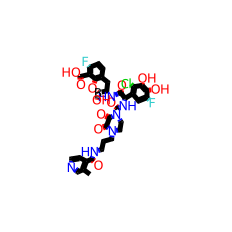 Cc1cnccc1C(=O)NCCCN1CCN(C(=O)NC(C(=O)N[C@H]2Cc3ccc(F)c(C(=O)O)c3OB2O)c2cc(F)c(O)c(O)c2Cl)C(=O)C1=O